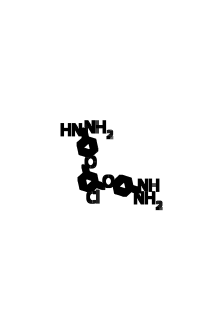 N=C(N)c1ccc(OCc2ccc(Cl)c(COc3ccc(C(=N)N)cc3)c2)cc1